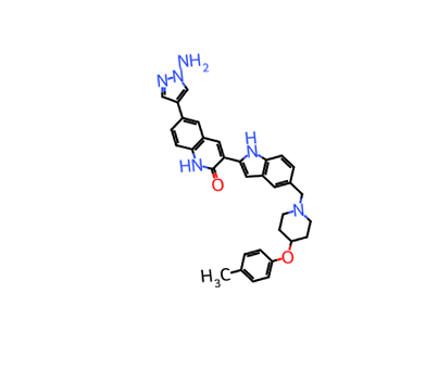 Cc1ccc(OC2CCN(Cc3ccc4[nH]c(-c5cc6cc(-c7cnn(N)c7)ccc6[nH]c5=O)cc4c3)CC2)cc1